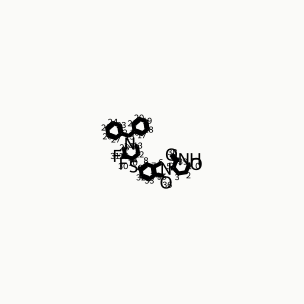 O=C1CCC(N2Cc3cc(S[C@H]4CCN(C(c5ccccc5)c5ccccc5)CC4(F)F)ccc3C2=O)C(=O)N1